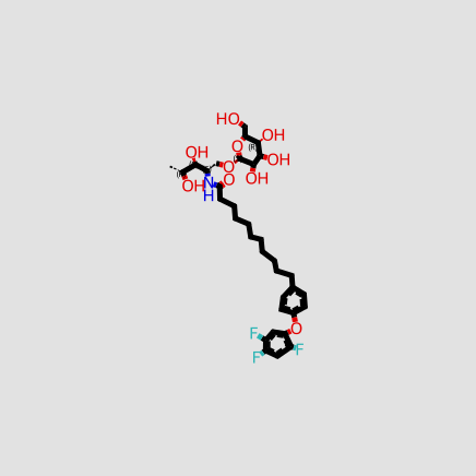 C[C@@H](O)[C@@H](O)[C@H](CO[C@H]1OC(CO)[C@H](O)C(O)C1O)NC(=O)CCCCCCCCCCc1ccc(Oc2cc(F)c(F)cc2F)cc1